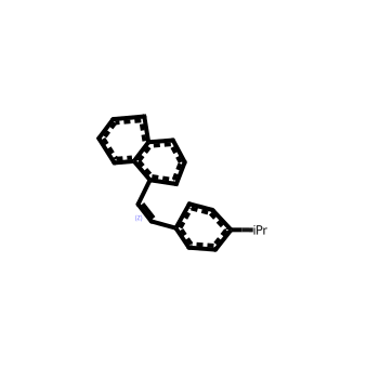 CC(C)c1ccc(/C=C\c2cccc3ccccc23)cc1